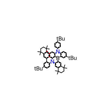 Cc1cc2c3c(c1)N(c1ccc(C(C)(C)C)cc1-c1ccc4c(c1)C(C)(C)CCC4(C)C)c1cc4c(cc1B3c1cc(C(C)(C)C)ccc1N2c1ccc(C(C)(C)C)cc1)C(C)(C)CCC4(C)C